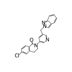 O=C1c2ccc(Cl)cc2CCN1c1cncc(Cn2cc3ccccc3n2)c1